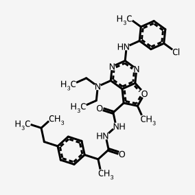 CCN(CC)c1nc(Nc2cc(Cl)ccc2C)nc2oc(C)c(C(=O)NNC(=O)C(C)c3ccc(CC(C)C)cc3)c12